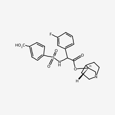 O=C(O)c1ccc(S(=O)(=O)NC(C(=O)O[C@H]2CN3CCC2CC3)c2cccc(F)c2)cc1